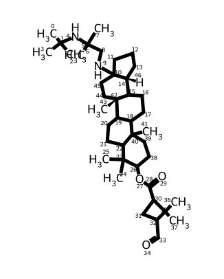 CC(C)(C)NC(C)(C)CNC12CCC[C@@H]1C1CCC3C(CCC4C(C)(C)C(OC(=O)C5CC(C=O)C5(C)C)CCC34C)[C@]1(C)CC2